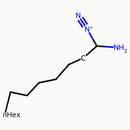 CCCCCCCCCCCCC(N)[N+]#N